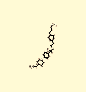 C=CCCc1ccc(CCOC(F)(F)c2ccc([C@H]3CC[C@H](C=C)CC3)cc2)cc1